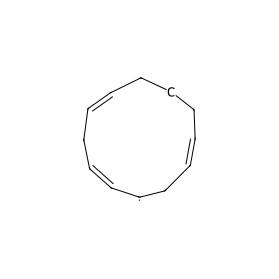 [CH]1/C=C\C/C=C\CCC/C=C\C1